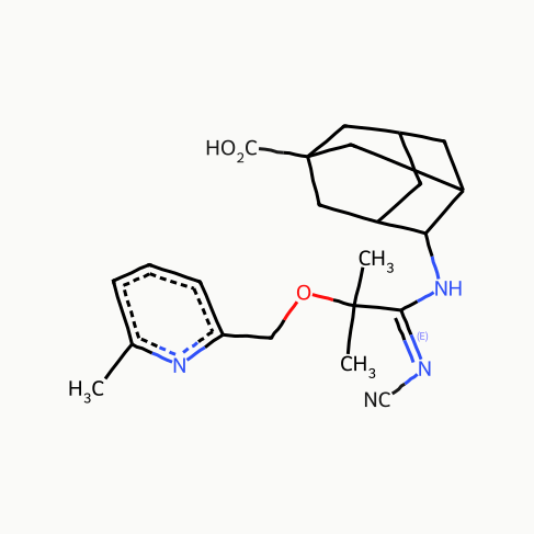 Cc1cccc(COC(C)(C)/C(=N\C#N)NC2C3CC4CC2CC(C(=O)O)(C4)C3)n1